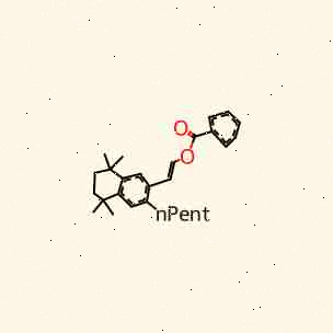 CCCCCc1cc2c(cc1C=COC(=O)c1ccccc1)C(C)(C)CCC2(C)C